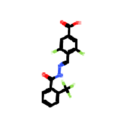 O=C(O)c1cc(F)c(C=NNC(=O)c2ccccc2C(F)(F)F)c(F)c1